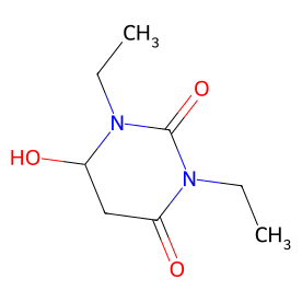 CCN1C(=O)CC(O)N(CC)C1=O